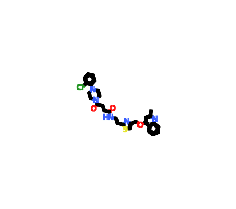 Cc1cc(OCc2csc(CCNC(=O)CCC(=O)N3CCN(c4ccccc4Cl)CC3)n2)c2ccccc2n1